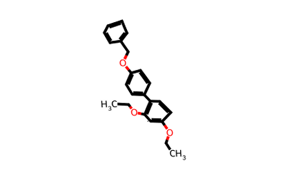 CCOc1[c]c(OCC)c(-c2ccc(OCc3ccccc3)cc2)cc1